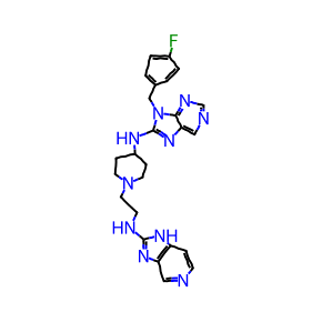 Fc1ccc(Cn2c(NC3CCN(CCNc4nc5cnccc5[nH]4)CC3)nc3cncnc32)cc1